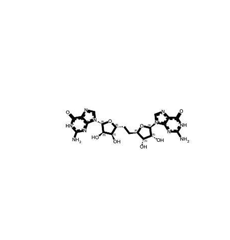 Nc1nc2c(ncn2[C@@H]2O[C@H]([CH]C[C@H]3O[C@@H](n4cnc5c(=O)[nH]c(N)nc54)[C@H](O)[C@@H]3O)[C@@H](O)[C@H]2O)c(=O)[nH]1